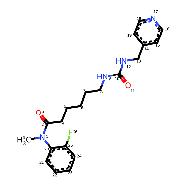 CN(C(=O)CCCCCNC(=O)NCc1ccncc1)c1ccccc1F